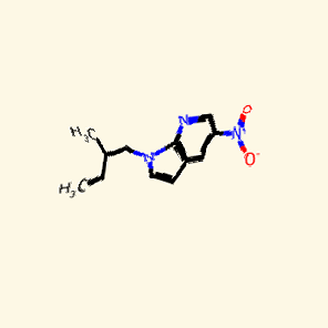 CCC(C)Cn1ccc2cc([N+](=O)[O-])cnc21